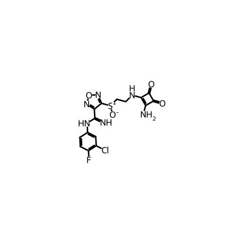 N=C(Nc1ccc(F)c(Cl)c1)c1nonc1[S+]([O-])CCNc1c(N)c(=O)c1=O